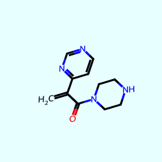 C=C(C(=O)N1CCNCC1)c1ccncn1